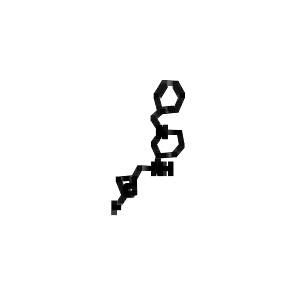 FC12CC(CN[C@@H]3CCCN(Cc4ccccc4)C3)(C1)C2